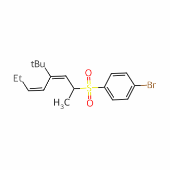 CC/C=C\C(=C/C(C)S(=O)(=O)c1ccc(Br)cc1)C(C)(C)C